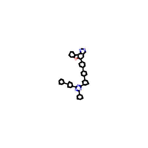 c1ccc(-c2ccc(-c3nc(-c4ccccc4)nc(-c4cccc(-c5ccc(-c6ccc(-c7cc8cncnc8c8c7oc7ccccc78)cc6)cc5)c4)n3)cc2)cc1